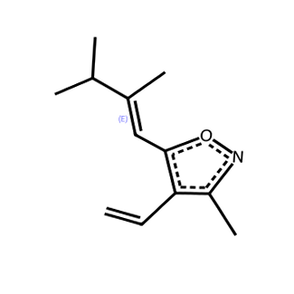 C=Cc1c(C)noc1/C=C(\C)C(C)C